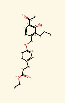 CCCc1c(COc2ccc(CCC(=O)OCC)cc2)ccc(C(C)=O)c1O